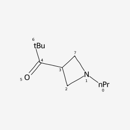 CCCN1CC(C(=O)C(C)(C)C)C1